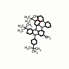 Bc1cc2c3c(c1)N(c1ccccc1-c1ccccc1)c1ccc(C(C)(C)C)cc1B3c1cc(C(C)(C)C)ccc1N2c1ccc(C(C)(C)C)cc1